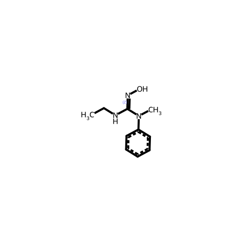 CCN/C(=N/O)N(C)c1ccccc1